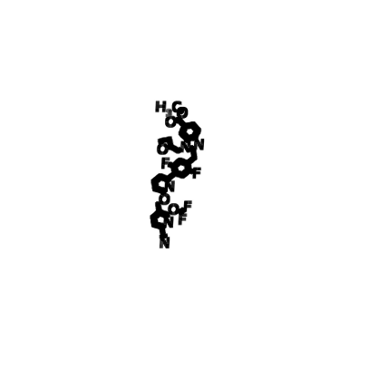 COC(=O)c1ccc2nc(Cc3cc(F)c(-c4cccc(OCc5ccc(C#N)nc5OC(F)F)n4)cc3F)n(CC3CCO3)c2c1